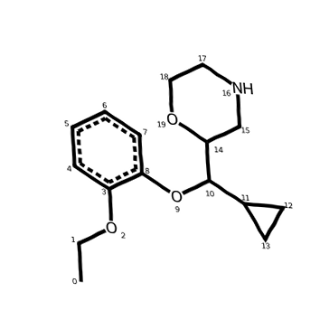 CCOc1ccccc1OC(C1CC1)C1CNCCO1